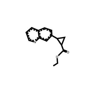 CCOC(=O)C1CC1c1ccc2cccnc2c1